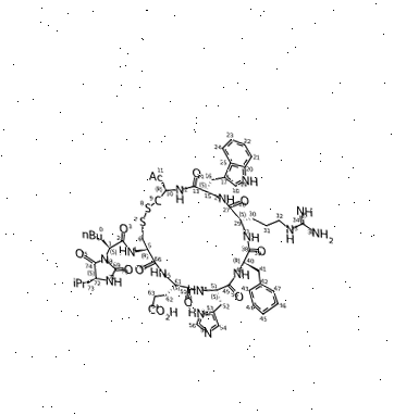 CCCC[C@@H](C(=O)N[C@H]1CSSC[C@@H](C(C)=O)NC(=O)[C@H](Cc2c[nH]c3ccccc23)NC(=O)[C@H](CCCNC(=N)N)NC(=O)[C@@H](Cc2ccccc2)NC(=O)[C@H](Cc2cnc[nH]2)NC(=O)[C@H](CCC(=O)O)NC1=O)N1C(=O)N[C@@H](C(C)C)C1=O